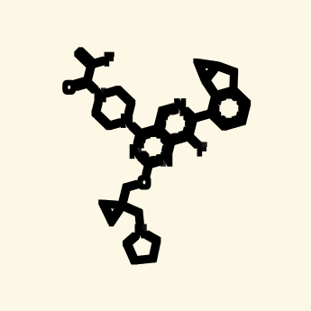 C=C(F)C(=O)N1CCN(c2nc(OCC3(CN4CCCC4)CC3)nc3c(F)c(-c4cccc5c4C4CC4C5)ncc23)CC1